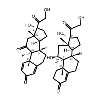 C[C@]12C=CC(=O)C=C1CC[C@@H]1[C@@H]2C(=O)C[C@@]2(C)[C@H]1CC[C@]2(O)C(=O)CO.C[C@]12CCC(=O)C=C1CC[C@@H]1[C@@H]2[C@@H](O)C[C@@]2(C)[C@H]1CC[C@]2(O)C(=O)CO